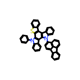 c1ccc(-n2c3ccccc3c3c2c2sc4ccccc4c2c2c4ccccc4n(-c4ccc5c6c(cccc46)-c4ccccc4-5)c23)cc1